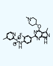 Cc1ccnc(S(=O)(=O)Nc2ccc(-c3nc(OC4CCN(C)CC4)c4c(C)n[nH]c4n3)cc2F)c1